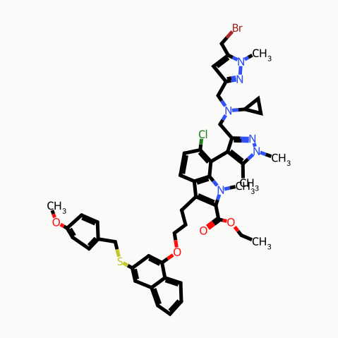 CCOC(=O)c1c(CCCOc2cc(SCc3ccc(OC)cc3)cc3ccccc23)c2ccc(Cl)c(-c3c(CN(Cc4cc(CBr)n(C)n4)C4CC4)nn(C)c3C)c2n1C